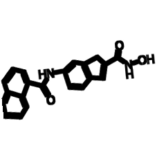 O=C(NO)C1=Cc2ccc(NC(=O)c3cccc4ccccc34)cc2C1